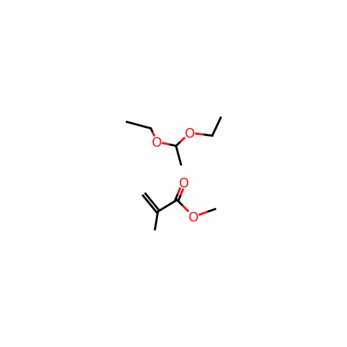 C=C(C)C(=O)OC.CCOC(C)OCC